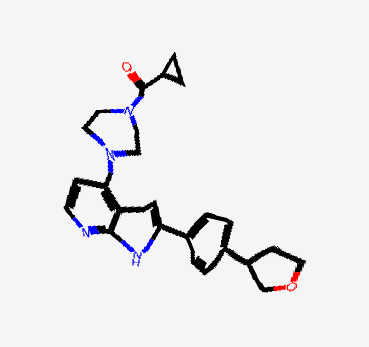 O=C(C1CC1)N1CCN(c2ccnc3[nH]c(-c4ccc(C5CCOC5)cc4)cc23)CC1